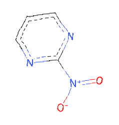 O=[N+]([O-])c1ncccn1